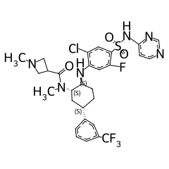 CN1CC(C(=O)N(C)[C@H]2C[C@@H](c3cccc(C(F)(F)F)c3)CC[C@@H]2Nc2cc(F)c(S(=O)(=O)Nc3ccncn3)cc2Cl)C1